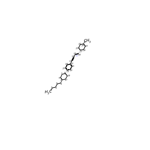 CCCCC[C@H]1CC[C@H](c2ccc(C#C/C=C/[C@H]3CC[C@H](C)CC3)cc2)CC1